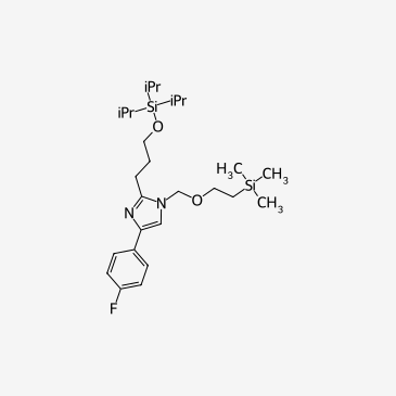 CC(C)[Si](OCCCc1nc(-c2ccc(F)cc2)cn1COCC[Si](C)(C)C)(C(C)C)C(C)C